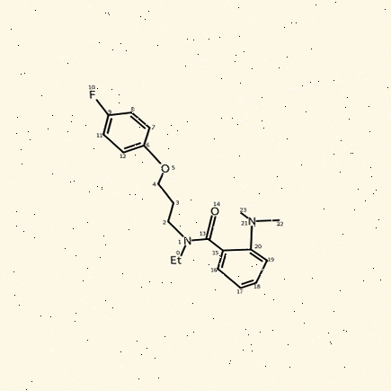 CCN(CCCOc1ccc(F)cc1)C(=O)c1ccccc1N(C)C